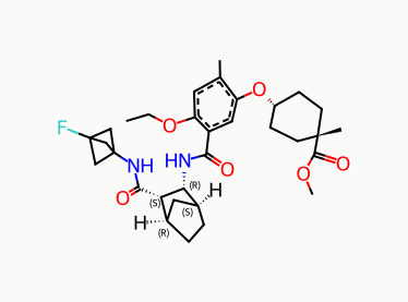 CCOc1cc(C)c(O[C@H]2CC[C@@](C)(C(=O)OC)CC2)cc1C(=O)N[C@@H]1[C@H]2CC[C@H](C2)[C@@H]1C(=O)NC12CC(F)(C1)C2